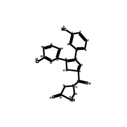 N#Cc1cccc(-c2cc(C(=O)N3CNC(=O)C3)sc2-c2cccc(Cl)c2)c1